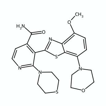 COc1ccc(N2CCOCC2)c2sc(-c3c(C(N)=O)ccnc3N3CCSCC3)nc12